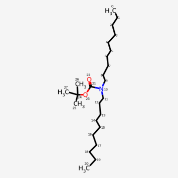 CCCCCCCCCCN(CCCCCCCCCC)C(=O)OC(C)(C)C